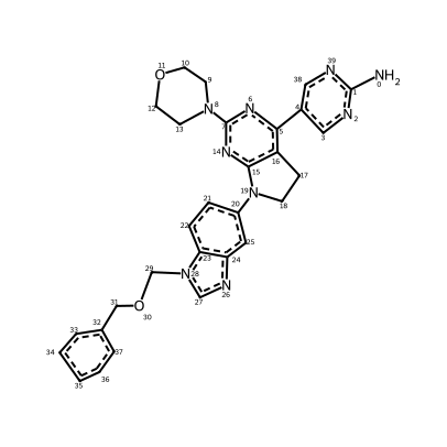 Nc1ncc(-c2nc(N3CCOCC3)nc3c2CCN3c2ccc3c(c2)ncn3COCc2ccccc2)cn1